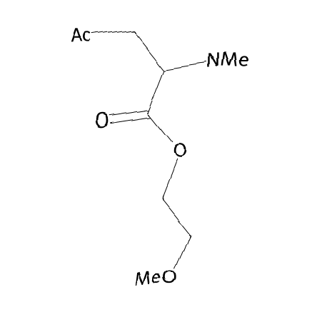 CNC(CC(C)=O)C(=O)OCCOC